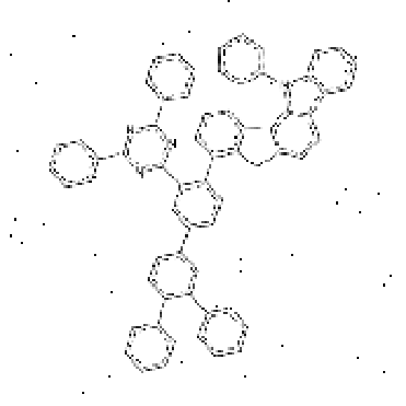 c1ccc(-c2nc(-c3ccccc3)nc(-c3cc(-c4ccc(-c5ccccc5)c(-c5ccccc5)c4)ccc3-c3cccc4c3Cc3ccc5c6ccccc6n(-c6ccccc6)c5c3-4)n2)cc1